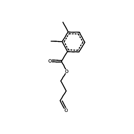 Cc1cccc(C(=O)OCCC=O)c1C